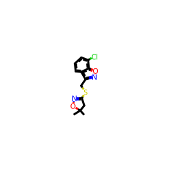 CC1(C)CC(SCc2noc3c(Cl)cccc23)=NO1